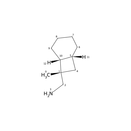 C[C@]1(CN)C[C@H]2CCCC[C@H]21